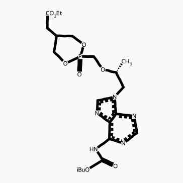 CCOC(=O)CC1COP(=O)(CO[C@H](C)Cn2cnc3c(NC(=O)OCC(C)C)ncnc32)OC1